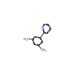 Cc1cc(C)cc(-c2c[c]ccn2)c1